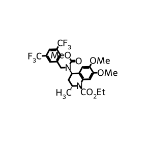 CCOC(=O)N1c2cc(OC)c(OC)cc2[C@H](N(Cc2cc(C(F)(F)F)cc(C(F)(F)F)c2)C(=O)OC)C[C@H]1C